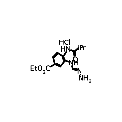 CCOC(=O)c1ccc(NC(=O)C(C)C)c(NC=NN)c1.Cl